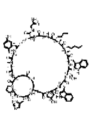 CCCCC[C@H]1C(=O)N(C)[C@@H](CCCC)C(=O)N[C@@H](C)C(=O)N[C@H](C(=O)NCC(N)=O)CSCC(=O)N[C@@H](Cc2ccc(O)cc2)C(=O)N(C)[C@@H](C)C(=O)N[C@H]2CCC(=O)NCC[C@H](NC(=O)[C@H](Cc3cnc[nH]3)NC(=O)[C@@H]3CCCN3C2=O)C(=O)N2C[C@H](O)C[C@H]2C(=O)N[C@@H](Cc2c[nH]c3ccccc23)C(=O)N[C@@H](CO)C(=O)N[C@@H](Cc2c[nH]c3ccccc23)C(=O)N1C